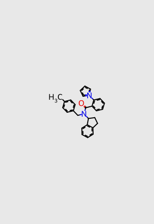 Cc1ccc(CN(C(=O)c2ccccc2-n2cccc2)C2CCc3ccccc32)cc1